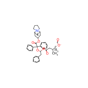 CC(C)CC(=O)OC(Cc1ccccc1)OC(C(=O)OC1CC2CCC(C1)[N+]21CCCC1)(c1ccccc1)c1ccccc1.O=C[O-]